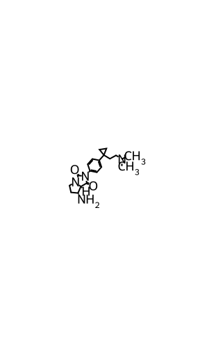 CN(C)CCC1(c2ccc(N3C(=O)[C@@H]4[C@H](N)CCN4C3=O)cc2)CC1